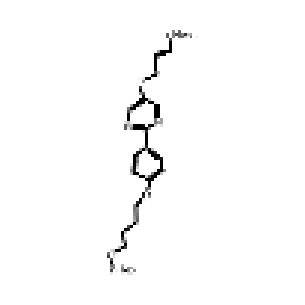 CCCCCCCC=CCOc1cnc(-c2ccc(OCCCCOCCCCCC)cc2)nc1